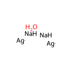 O.[Ag].[Ag].[NaH].[NaH]